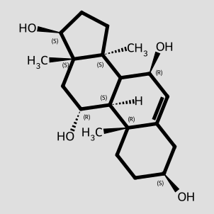 C[C@]12CC[C@H](O)CC1=C[C@H](O)C1[C@@H]2[C@H](O)C[C@]2(C)[C@@H](O)CC[C@@]12C